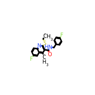 CCSc1nc2ccc(F)cc2c(C)c1C(=O)NCc1ccc(F)cc1